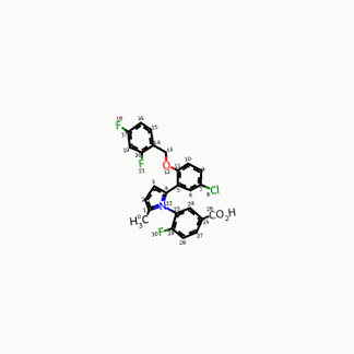 Cc1ccc(-c2cc(Cl)ccc2OCc2ccc(F)cc2F)n1-c1cc(C(=O)O)ccc1F